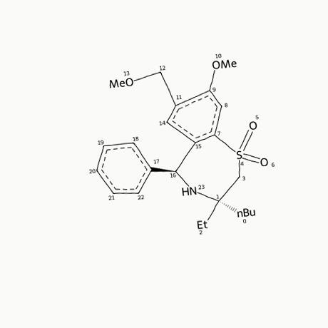 CCCC[C@@]1(CC)CS(=O)(=O)c2cc(OC)c(COC)cc2[C@H](c2ccccc2)N1